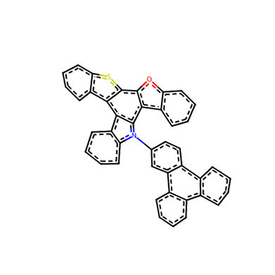 c1ccc2c(c1)oc1c3sc4ccccc4c3c3c4ccccc4n(-c4ccc5c6ccccc6c6ccccc6c5c4)c3c21